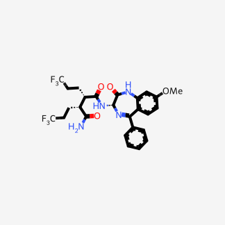 COc1ccc2c(c1)NC(=O)[C@@H](NC(=O)[C@@H](CCC(F)(F)F)[C@@H](CCC(F)(F)F)C(N)=O)N=C2c1ccccc1